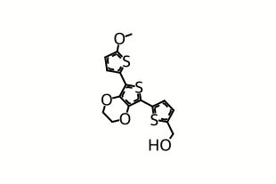 COc1ccc(-c2sc(-c3ccc(CO)s3)c3c2OCCO3)s1